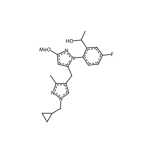 COc1cc(Cc2cn(CC3CC3)nc2C)n(-c2ccc(F)cc2C(C)O)n1